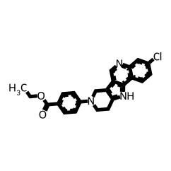 CCOC(=O)c1ccc(N2CCc3[nH]c4c(cnc5cc(Cl)ccc54)c3C2)cc1